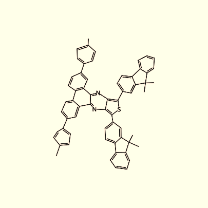 Cc1ccc(-c2ccc3c4ccc(-c5ccc(C)cc5)cc4c4nc5c(-c6ccc7c(c6)C(C)(C)c6ccccc6-7)sc(-c6ccc7c(c6)C(C)(C)c6ccccc6-7)c5nc4c3c2)cc1